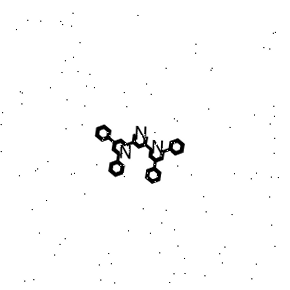 c1ccc(-c2cc(-c3ccccc3)nc(-c3cncc(-c4cc(-c5ccccc5)cc(-c5ccccc5)n4)c3)c2)cc1